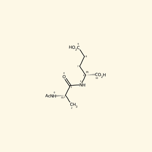 CC(=O)N[C@@H](C)C(=O)N[C@H](CCC(=O)O)C(=O)O